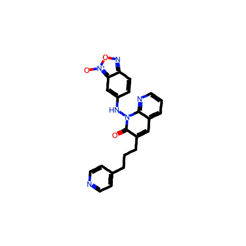 O=c1c(CCCc2ccncc2)cc2cccnc2n1Nc1ccc2no[n+]([O-])c2c1